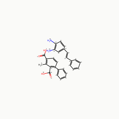 Cc1c(C(=O)O)ccc(-c2ccccc2)c1C(=O)O.Nc1ccc(C=Cc2ccccc2)cc1N